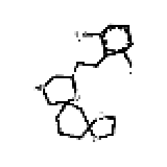 Nc1cccc(F)c1CC[C@@H]1CNCC2(CCCC3(C2)OCCO3)O1